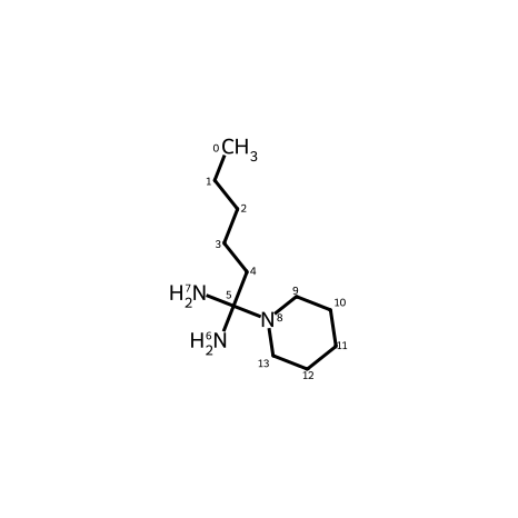 CCCCCC(N)(N)N1CCCCC1